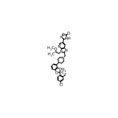 CO[C@@H](C)Cn1c(CN2CCC(c3cccc4c3O[C@@](C)(c3ccc(Cl)cc3F)O4)CC2)nc2cc(-c3noc(=O)[nH]3)cnc21